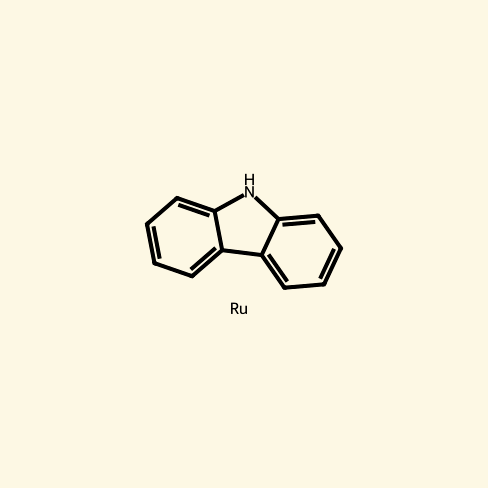 [Ru].c1ccc2c(c1)[nH]c1ccccc12